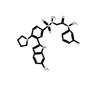 Cc1ccc2cc(-c3cc(S(=O)(=O)N(C)CC(=O)N(C)c4cccc(F)c4)ccc3N3CCCC3)[nH]c2c1